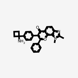 Cc1nc2ccc3c(=O)c(-c4ccc(C5(N)CCC5)cc4)c(-c4ccccc4)oc3c2n1C